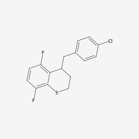 Fc1ccc(F)c2c1SCCC2Cc1ccc(Cl)cc1